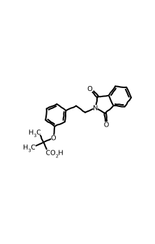 CC(C)(Oc1cccc(CCN2C(=O)c3ccccc3C2=O)c1)C(=O)O